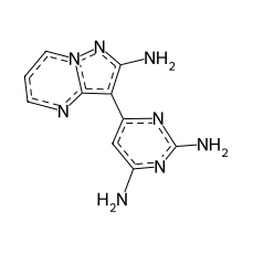 Nc1cc(-c2c(N)nn3cccnc23)nc(N)n1